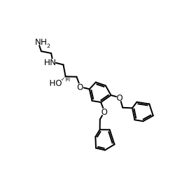 NCCNC[C@@H](O)COc1ccc(OCc2ccccc2)c(OCc2ccccc2)c1